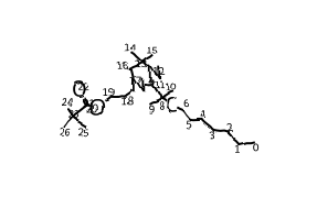 CCCCCCCCC(C)(C)C1=NC(C)(C)CN1CCOC(=O)C(C)(C)C